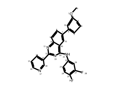 COc1cccc(-c2ccc3nc(-c4cccnc4)nc(Nc4ccc(F)c(F)c4)c3c2)c1